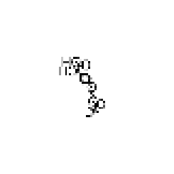 CCC(C)(C)C(=O)OCCOc1ccc(C(O)C(=O)O)cc1